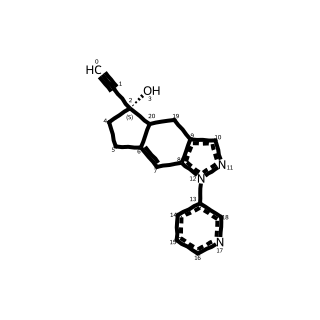 C#C[C@]1(O)CCC2=Cc3c(cnn3-c3cccnc3)CC21